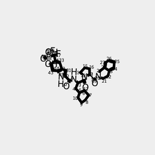 O=C(NC(CC1CCCCC1)C(=O)N1CCC[C@H]1C(=O)N1CCc2ccccc2C1)c1cc2cc(C(F)(F)P(=O)(O)O)ccc2[nH]1